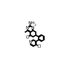 Cc1nc(N)nc2c1C(=O)CC(c1ccccc1-c1cnccc1Cl)C2